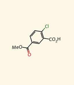 COC(=O)c1ccc(Cl)c(C(=O)O)c1